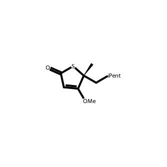 CCCC(C)C[C@@]1(C)SC(=O)C=C1OC